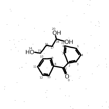 O=C(c1ccccc1)c1ccccc1.OCCCC(O)O